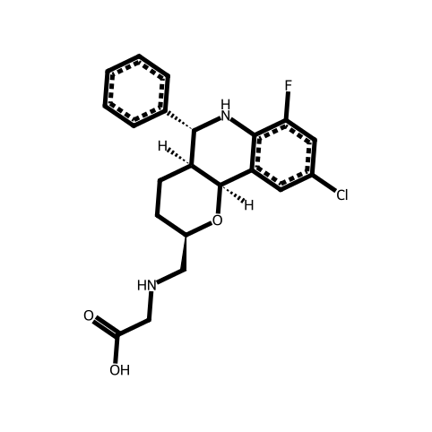 O=C(O)CNC[C@H]1CC[C@@H]2[C@H](O1)c1cc(Cl)cc(F)c1N[C@H]2c1ccccc1